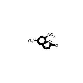 O=c1ccc2cc([N+](=O)[O-])cc([N+](=O)[O-])c2o1